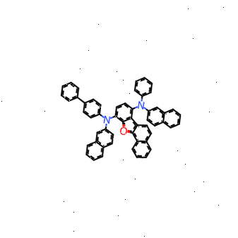 c1ccc(-c2ccc(N(c3ccc4ccccc4c3)c3ccc(N(c4ccccc4)c4ccc5ccccc5c4)c4c3oc3c5ccccc5ccc34)cc2)cc1